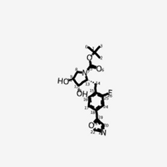 CC(C)(C)OC(=O)N1C[C@H](O)[C@@H](O)[C@H]1Cc1ccc(-c2cnco2)cc1F